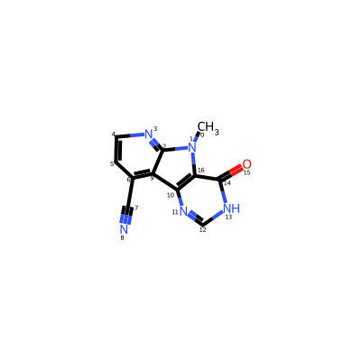 Cn1c2nccc(C#N)c2c2nc[nH]c(=O)c21